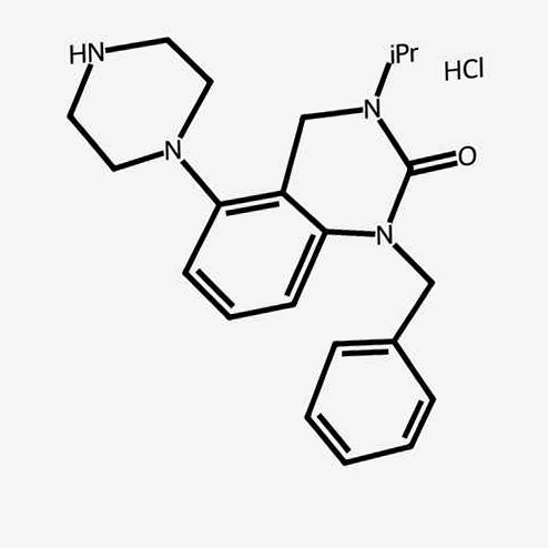 CC(C)N1Cc2c(N3CCNCC3)cccc2N(Cc2ccccc2)C1=O.Cl